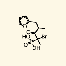 CC(Cc1ccco1)C(=O)C(C)(Br)P(=O)(O)O